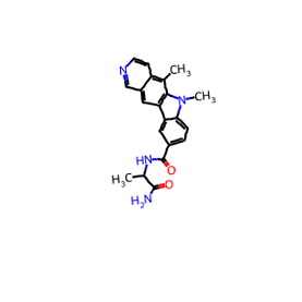 Cc1c2ccncc2cc2c3cc(C(=O)NC(C)C(N)=O)ccc3n(C)c12